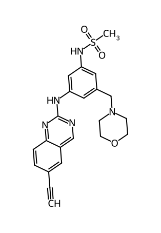 C#Cc1ccc2nc(Nc3cc(CN4CCOCC4)cc(NS(C)(=O)=O)c3)ncc2c1